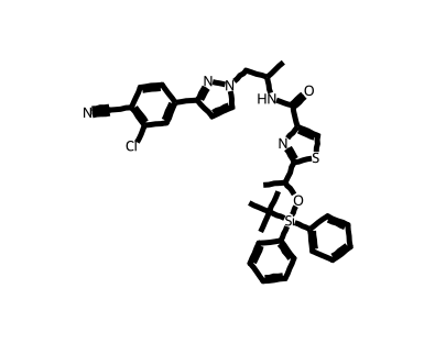 CC(Cn1ccc(-c2ccc(C#N)c(Cl)c2)n1)NC(=O)c1csc(C(C)O[Si](c2ccccc2)(c2ccccc2)C(C)(C)C)n1